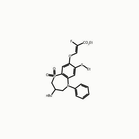 CCCCC1CN(c2ccccc2)c2cc(SCC)c(O/C=C(\F)C(=O)OCC)cc2S(=O)(=O)C1